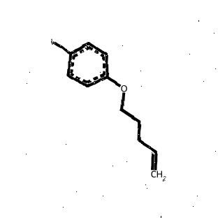 C=CCCCOc1ccc(I)cc1